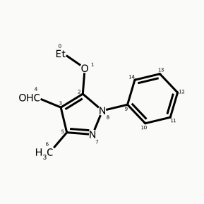 CCOc1c(C=O)c(C)nn1-c1ccccc1